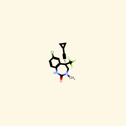 CN1C[C@](C#CC2CC2)(C(F)(F)F)c2cc(Cl)ccc2NC1=O